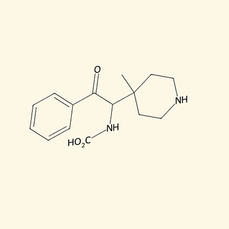 CC1(C(NC(=O)O)C(=O)c2ccccc2)CCNCC1